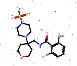 CCCS(=O)(=O)N1CCN(C2(CNC(=O)c3c(F)cccc3OC)CCOCC2)CC1